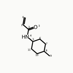 C=CC(=O)NC1CCC(C)CC1